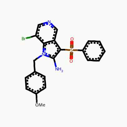 COc1ccc(Cn2c(N)c(S(=O)(=O)c3ccccc3)c3cncc(Br)c32)cc1